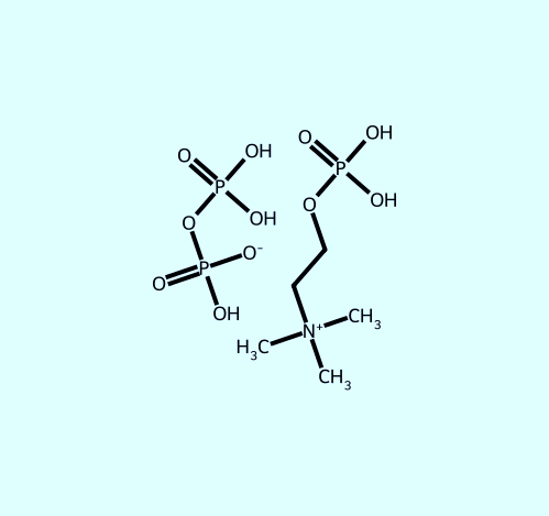 C[N+](C)(C)CCOP(=O)(O)O.O=P([O-])(O)OP(=O)(O)O